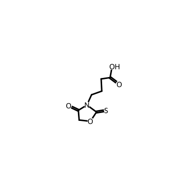 O=C(O)CCCN1C(=O)COC1=S